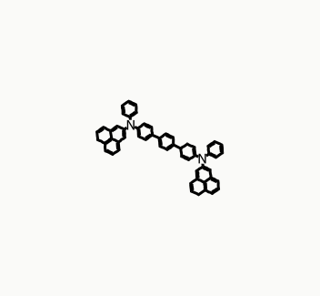 C1=Cc2cc(N(C3=CCC(c4ccc(-c5ccc(N(c6ccccc6)c6cc7c8c(cccc8c6)CC=C7)cc5)cc4)C=C3)c3ccccc3)cc3cccc(c23)C1